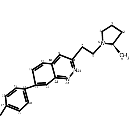 C[C@@H]1CCCN1CCc1cc2ccc(-c3ccc(F)cc3)cc2nn1